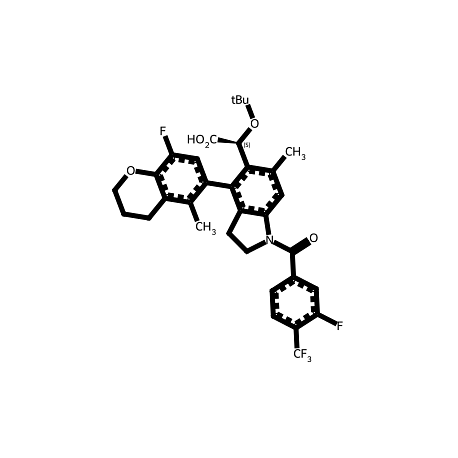 Cc1cc2c(c(-c3cc(F)c4c(c3C)CCCO4)c1[C@H](OC(C)(C)C)C(=O)O)CCN2C(=O)c1ccc(C(F)(F)F)c(F)c1